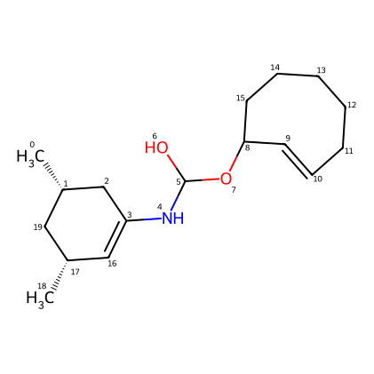 C[C@@H]1CC(NC(O)OC2/C=C/CCCCC2)=C[C@H](C)C1